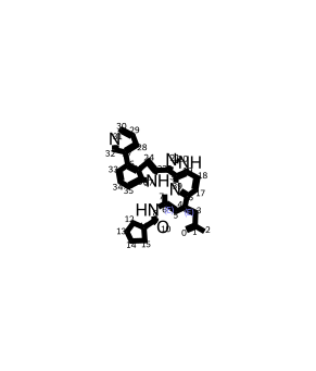 C=C(C)/C=C(\C=C(/C)NC(=O)C1CCCC1)c1ccc2[nH]nc(-c3cc4c(-c5cccnc5)cccc4[nH]3)c2n1